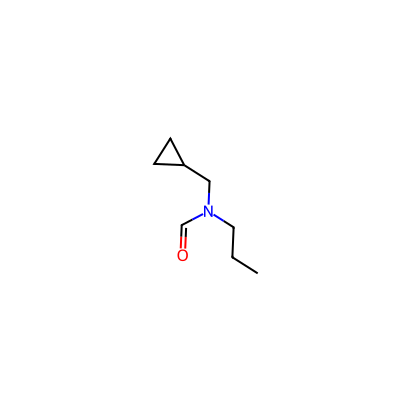 CCCN(C=O)CC1CC1